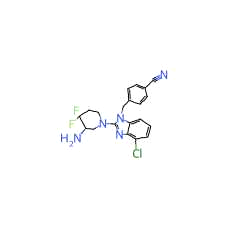 N#Cc1ccc(Cn2c(N3CCC(F)(F)[C@H](N)C3)nc3c(Cl)cccc32)cc1